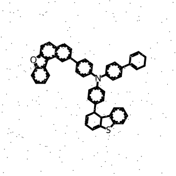 C1=CC(c2ccc(N(c3ccc(C4=CCCC=C4)cc3)c3ccc(-c4ccc5ccc6oc7ccccc7c6c5c4)cc3)cc2)C2C(=C1)Sc1ccccc12